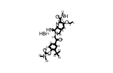 Br.CCOc1cc2c(nc1C(=O)NC)C(=N)N(CC(=O)c1ccc(OC(=O)N(C)C)c(C(C)(C)C)c1)C2